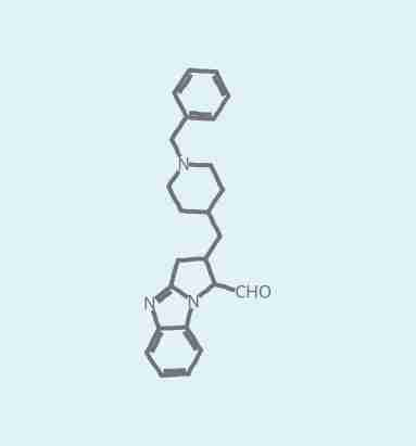 O=CC1C(CC2CCN(Cc3ccccc3)CC2)Cc2nc3ccccc3n21